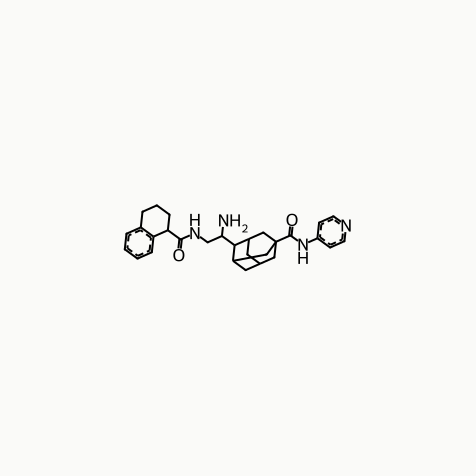 NC(CNC(=O)C1CCCc2ccccc21)C1C2CC3CC1CC(C(=O)Nc1ccncc1)(C3)C2